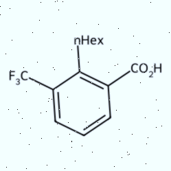 CCCCCCc1c(C(=O)O)cccc1C(F)(F)F